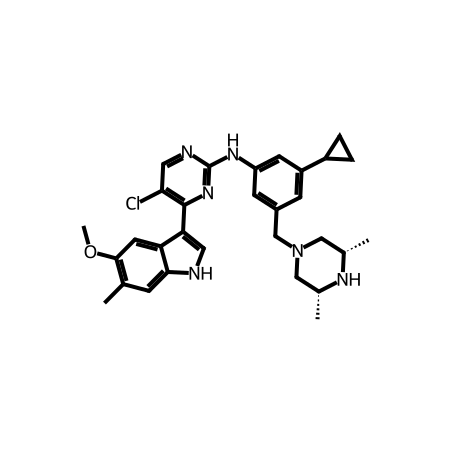 COc1cc2c(-c3nc(Nc4cc(CN5C[C@@H](C)N[C@@H](C)C5)cc(C5CC5)c4)ncc3Cl)c[nH]c2cc1C